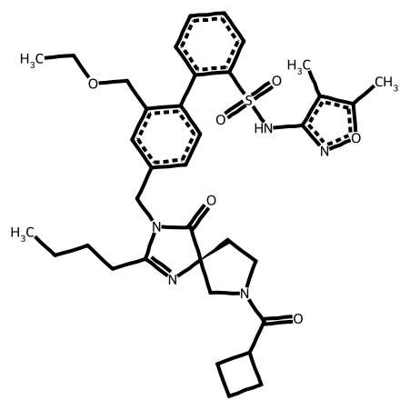 CCCCC1=N[C@]2(CCN(C(=O)C3CCC3)C2)C(=O)N1Cc1ccc(-c2ccccc2S(=O)(=O)Nc2noc(C)c2C)c(COCC)c1